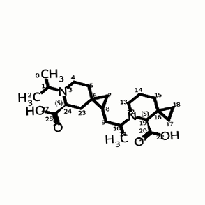 CC(C)N1CCC2(CC2CC(C)N2CCCC3(CC3)[C@H]2C(=O)O)C[C@H]1C(=O)O